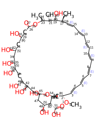 CO[C@H]1/C=C/C=C/C=C/C=C/C=C/C=C/C=C/[C@H](C)[C@@H](O)[C@@H](C)[C@H](C)OC(=O)C[C@H](O)C[C@H](O)C[C@H](O)[C@@H](O)C[C@@H](O)[C@H](O)C[C@]2(O)C[C@H](O)[C@@H](C(=O)O)[C@H](C1)O2